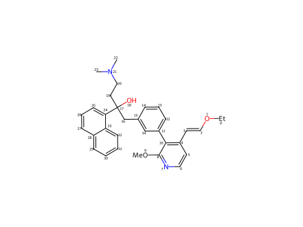 CCOC=Cc1ccnc(OC)c1-c1cccc(CC(O)(CCN(C)C)c2cccc3ccccc23)c1